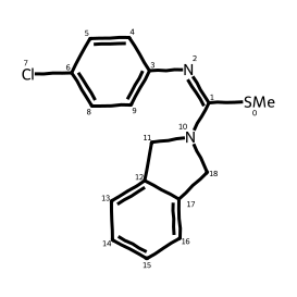 CS/C(=N/c1ccc(Cl)cc1)N1Cc2ccccc2C1